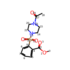 COC(=O)c1ccccc1S(=O)(=O)N1CCN(C(C)=O)CC1